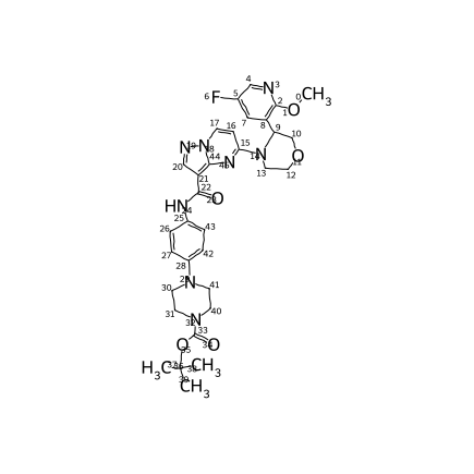 COc1ncc(F)cc1C1COCCN1c1ccn2ncc(C(=O)Nc3ccc(N4CCN(C(=O)OC(C)(C)C)CC4)cc3)c2n1